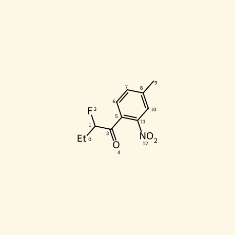 CCC(F)C(=O)c1ccc(C)cc1[N+](=O)[O-]